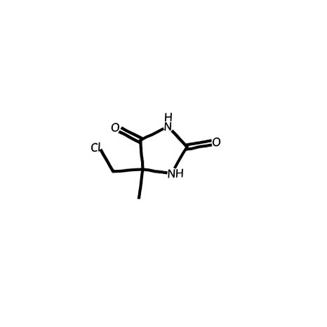 CC1(CCl)NC(=O)NC1=O